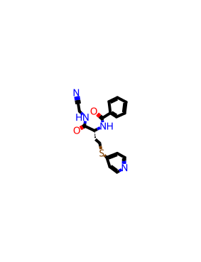 N#CCNC(=O)[C@@H](CCSc1ccncc1)NC(=O)c1ccccc1